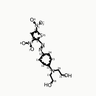 O=[N+]([O-])c1cc([N+](=O)[O-])c(/N=N/c2ccc(N(CCO)CCO)cc2)s1